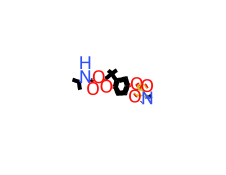 CC(C)NC(=O)OC1Oc2ccc(OS(=O)(=O)N(C)C)cc2C1(C)C